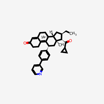 CC[C@@H]1C[C@H]2[C@@H]3CCC4=CC(=O)CCC4=C3[C@@H](c3ccc(-c4cccnc4)cc3)C[C@]2(C)[C@H]1C(=O)C1CC1